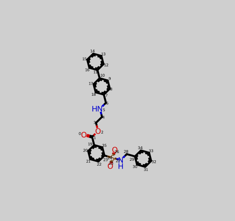 O=C(OCCNCc1ccc(-c2ccccc2)cc1)c1cccc(S(=O)(=O)NCc2ccccc2)c1